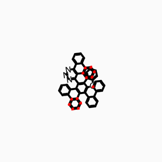 c1ccc(-c2ccccc2-c2nnnc(-c3c(-c4ccccc4-c4ccccc4)c(-c4ccccc4)c(-c4ccccc4-c4ccccc4)c4oc5ccccc5c34)c2-c2ccccc2)cc1